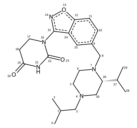 CC(C)CN1CCN(Cc2ccc3onc(N4CCC(=O)NC4=O)c3c2)[C@H](C(C)C)C1